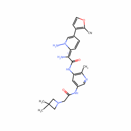 Cc1ncc(NC(=O)CN2CC(C)(C)C2)cc1NC(=O)/C(N)=C1\C=CC(c2ccoc2C#N)=CN1N